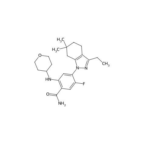 CCc1nn(-c2cc(NC3CCOCC3)c(C(N)=O)cc2F)c2c1CCC(C)(C)C2